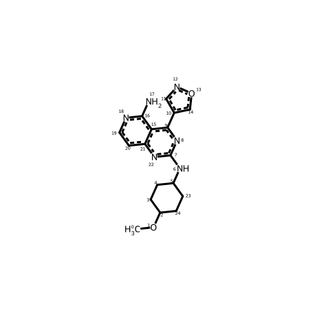 COC1CCC(Nc2nc(-c3cnoc3)c3c(N)nccc3n2)CC1